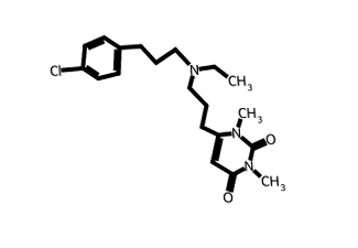 CCN(CCCc1ccc(Cl)cc1)CCCc1cc(=O)n(C)c(=O)n1C